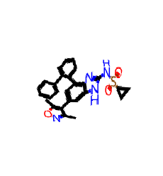 Cc1noc(C)c1-c1cc(-c2ccccc2-c2ccccc2)c2nc(NS(=O)(=O)C3CC3)[nH]c2c1